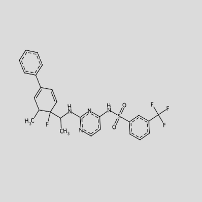 CC1C=C(c2ccccc2)C=CC1(F)C(C)Nc1nccc(NS(=O)(=O)c2cccc(C(F)(F)F)c2)n1